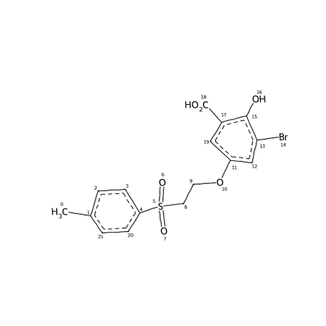 Cc1ccc(S(=O)(=O)CCOc2cc(Br)c(O)c(C(=O)O)c2)cc1